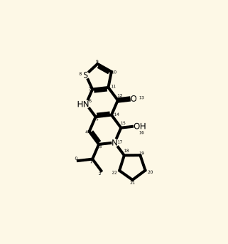 CC(C)C1=Cc2[nH]c3sccc3c(=O)c2C(O)N1C1CCCC1